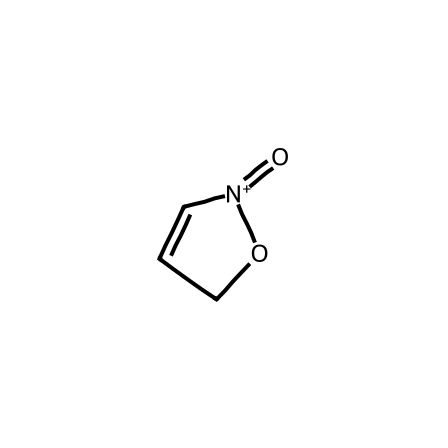 O=[N+]1C=CCO1